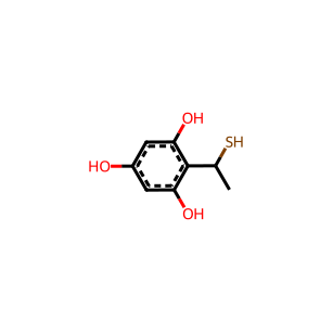 CC(S)c1c(O)cc(O)cc1O